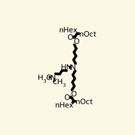 CCCCCCCCC(CCCCCC)C(=O)OCCCCCCN(CCCCCCOC(=O)C(CCCCCC)CCCCCCCC)NCCCCN(C)C